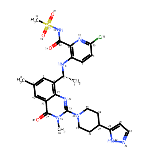 Cc1cc([C@@H](C)Nc2ccc(Cl)nc2C(=O)NS(C)(=O)=O)c2nc(N3CCC(c4ccn[nH]4)CC3)n(C)c(=O)c2c1